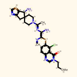 C=N/C(Sc1ccc2ncn(CCOC)c(=O)c2c1Cl)=C(N)\N=C(/C)N1CCC2(CC1)Cc1ncsc1[C@H]2N